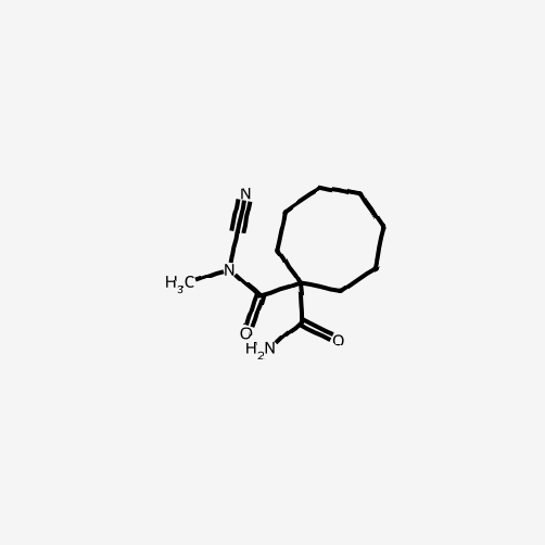 CN(C#N)C(=O)C1(C(N)=O)CCCCCCC1